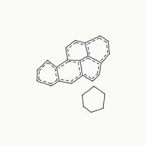 C1CCCCC1.c1ccc2c(c1)cc1ccc3cccc4ccc2c1c34